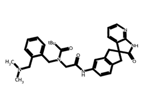 CN(C)Cc1ccccc1CN(CC(=O)Nc1ccc2c(c1)CC1(C2)C(=O)Nc2ncccc21)C(=O)C(C)(C)C